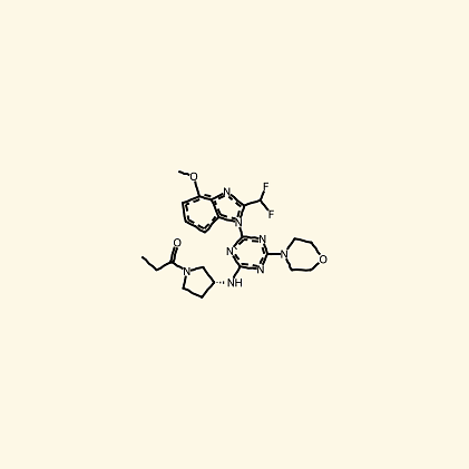 CCC(=O)N1CC[C@@H](Nc2nc(N3CCOCC3)nc(-n3c(C(F)F)nc4c(OC)cccc43)n2)C1